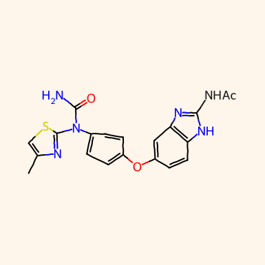 CC(=O)Nc1nc2cc(Oc3ccc(N(C(N)=O)c4nc(C)cs4)cc3)ccc2[nH]1